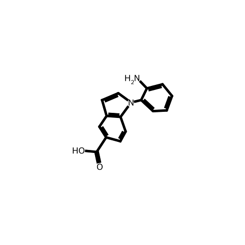 Nc1ccccc1-n1ccc2cc(C(=O)O)ccc21